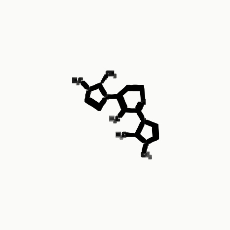 Cc1c(N2C=CN(C)[C@@H]2C)ccnc1N1C=CN(C)[C@H]1C